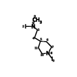 CN(I)CCC1CCN(I)CC1